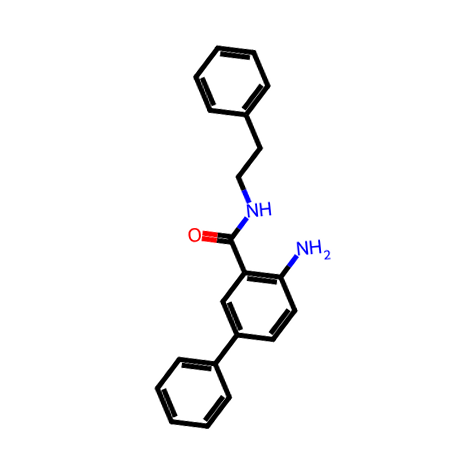 Nc1ccc(-c2ccccc2)cc1C(=O)NCCc1ccccc1